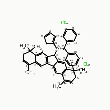 CC1=CCC(C)(C)c2cc3c(cc21)-c1cc2c(cc1[CH]3[Zr+2]([C]1=CC=CC1)=[C](c1ccccc1)c1ccccc1)C(C)(C)CC=C2C.[Cl-].[Cl-]